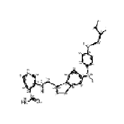 CCC(C)COc1ccc(N(C)c2ccc3c(c2)CC[C@H]3CNc2cnccc2C(=O)O)cc1